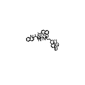 COc1ccc(CC(C)CCC(=O)[N]Cc2ncc(C(C)c3ccc4ccccc4n3)n2C(C)c2ccc3ccccc3n2)c(Cl)c1OC